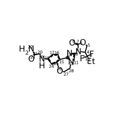 CCC(F)(F)C1COC(=O)N1c1cn2c(n1)-c1ccc(NCC(N)=O)cc1OCC2